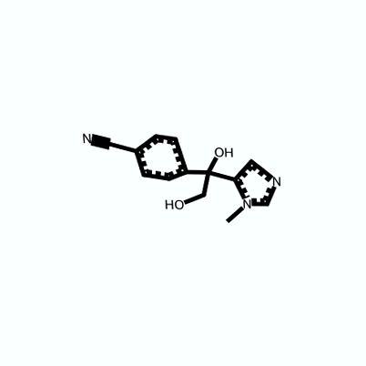 Cn1cncc1C(O)(CO)c1ccc(C#N)cc1